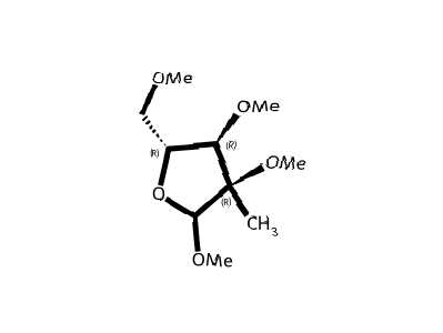 COC[C@H]1OC(OC)[C@](C)(OC)[C@@H]1OC